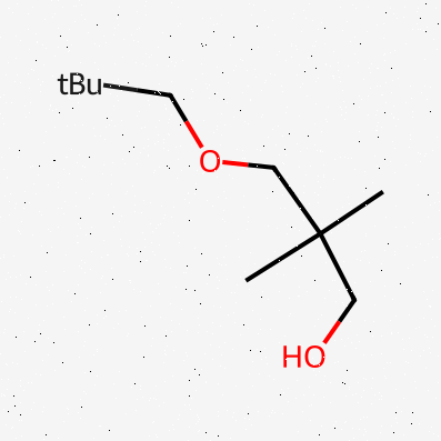 CC(C)(C)COCC(C)(C)CO